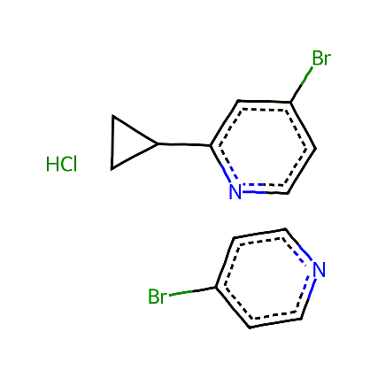 Brc1ccnc(C2CC2)c1.Brc1ccncc1.Cl